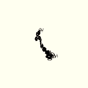 O=C1CCC(n2cc(-c3ccc(N4CCN(CCCOc5ccc([C@@H]6c7ccc(O)cc7CC[C@@H]6c6ccccc6)cc5)CC4)cc3)cn2)C(=O)N1